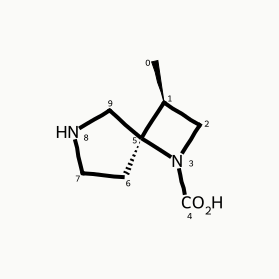 C[C@H]1CN(C(=O)O)[C@]12CCNC2